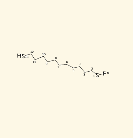 FSCCCCCCCCCCCS